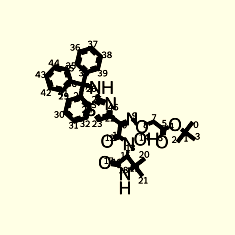 CC(C)(C)OC(=O)CO/N=C(\C(=O)N(O)[C@@H]1C(=O)NC1(C)C)c1csc(NC(c2ccccc2)(c2ccccc2)c2ccccc2)n1